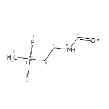 C[Si](F)(F)CCNC=O